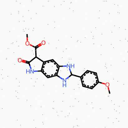 COC(=O)C1C(=O)Nc2cc3c(cc21)NC(c1ccc(OC)cc1)N3